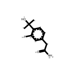 CC(C)(O)c1ccc(CC(N)=O)cc1F